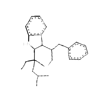 CCC1(CC(C)C)OCC(Cc2ccccc2)C2c3ccccc3NC21